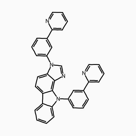 c1ccc(-c2cccc(-n3cnc4c3ccc3c5ccccc5n(-c5cccc(-c6ccccn6)c5)c34)c2)nc1